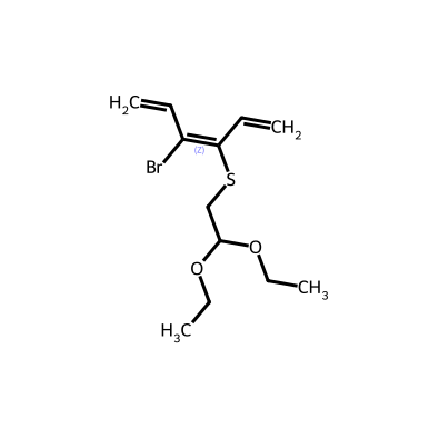 C=C/C(Br)=C(\C=C)SCC(OCC)OCC